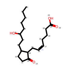 CCCCCC(O)CCC1CCC(=O)C1C/C=C\CCCC(=O)O